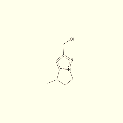 CC1CCn2nc(CO)cc21